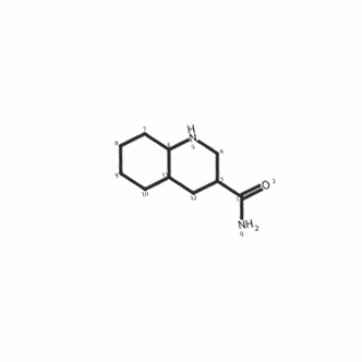 NC(=O)C1CNC2CCCCC2C1